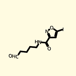 O=CCCCCNC(=O)c1cc(I)on1